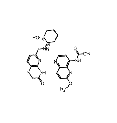 COc1ccc2nccc(NC(=O)O)c2n1.O=C1CSc2ccc(CN[C@@H]3CCCC[C@H]3O)nc2N1